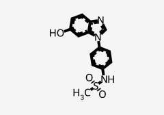 CS(=O)(=O)Nc1ccc(-n2cnc3ccc(O)cc32)cc1